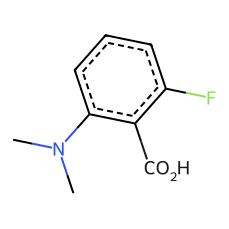 CN(C)c1cccc(F)c1C(=O)O